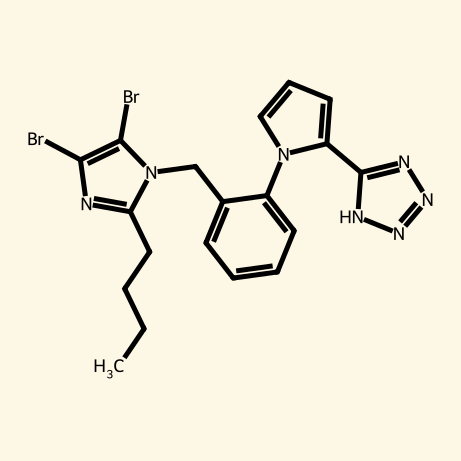 CCCCc1nc(Br)c(Br)n1Cc1ccccc1-n1cccc1-c1nnn[nH]1